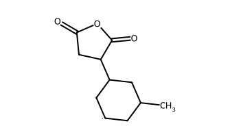 CC1C[CH]CC(C2CC(=O)OC2=O)C1